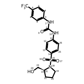 O=C(Nc1ccc(C(F)(F)F)cc1)Nc1ccc(S(=O)(=O)N2CCC[C@H]2CO)cc1